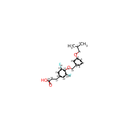 CC(C)COc1cccc(COc2c(F)cc(CCC(=O)O)cc2F)c1